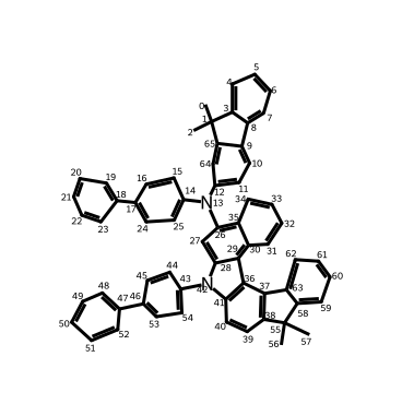 CC1(C)c2ccccc2-c2ccc(N(c3ccc(-c4ccccc4)cc3)c3cc4c(c5ccccc35)c3c5c(ccc3n4-c3ccc(-c4ccccc4)cc3)C(C)(C)c3ccccc3-5)cc21